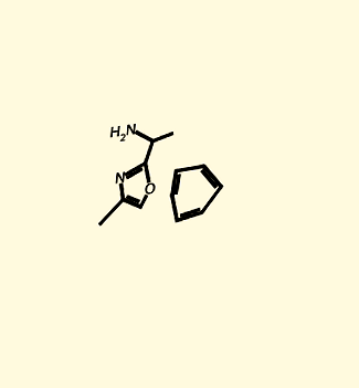 Cc1coc(C(C)N)n1.c1ccccc1